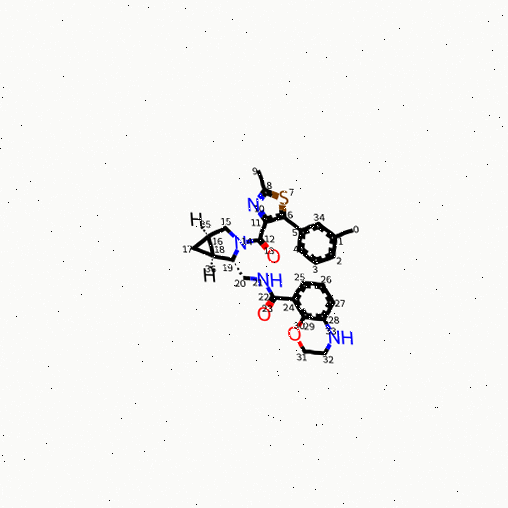 Cc1cccc(-c2sc(C)nc2C(=O)N2C[C@@H]3C[C@@H]3[C@H]2CNC(=O)c2cccc3c2OCCN3)c1